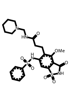 COc1c(CCC(=O)NCN2CCCCC2)c(NS(=O)(=O)c2ccccc2)cc2c1C(=O)NS2(=O)=O